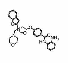 Nc1ccccc1NC(=O)c1ccc(OCC[N+](C=O)(CN2CCOCC2)c2cc3ccccc3o2)cc1